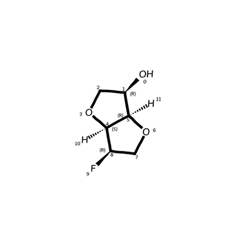 O[C@@H]1CO[C@H]2[C@@H]1OC[C@H]2F